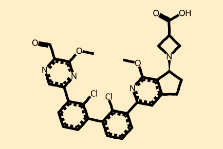 COc1nc(-c2cccc(-c3cccc(-c4cc5c(c(OC)n4)[C@@H](N4CC(C(=O)O)C4)CC5)c3Cl)c2Cl)cnc1C=O